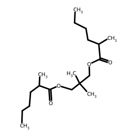 CCCCC(C)C(=O)OCC(C)(C)COC(=O)C(C)CCCC